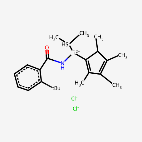 CC1=C(C)C(C)[C]([Ti+2]([NH]C(=O)c2ccccc2C(C)(C)C)[SiH](C)C)=C1C.[Cl-].[Cl-]